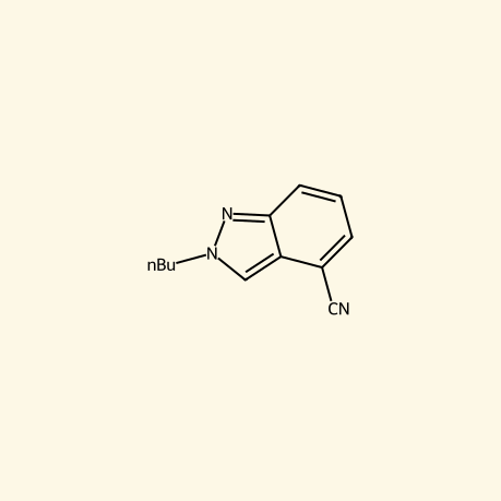 CCCCn1cc2c(C#N)cccc2n1